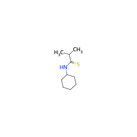 CC(C)C(=S)NC1CCCCC1